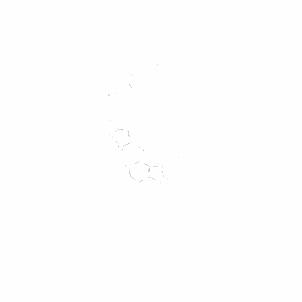 CC(C)NC(=O)O[C@@H]1CC[C@H](c2cc(Nc3nccc4c(CCOCC5CCOC5)nn(C)c34)n[nH]2)C1